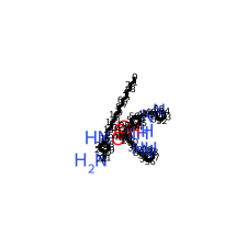 CCCCCCCCCCCCCCCCNc1ccc(CN)cc1.O=C(N[C@@H](CCCNCc1ccccn1)C(=O)O)c1ccc(CNCc2ccccn2)cc1